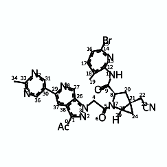 CC(=O)c1nn(CC(=O)N2[C@@H](C(=O)Nc3nc(Br)ccc3C)C[C@]3(CC#N)C[C@H]23)c2cnc(-c3cnc(C)nc3)cc12